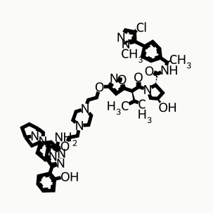 CC(C)[C@H](C(=O)N1C[C@H](O)C[C@H]1C(=O)N[C@@H](C)c1ccc(-c2c(Cl)cnn2C)cc1)c1cc(OCCN2CCN(CCOc3cc(N4C5CCC4CN(c4cc(-c6ccccc6O)nnc4N)C5)ccn3)CC2)no1